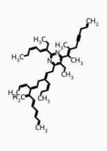 C=C/C=C/C=C/C(=C)C(/C=C\C)=C/CC(/C=C\CC)=C/Cc1nc(/C(=C/C=C\CC)CC)nc(/C(C)=C(\C)CC#CCC=C)c1CC